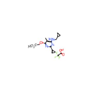 Cc1c(NCC2CC2)nc(C2CC2)nc1OCC(=O)O.O=C(O)C(F)(F)F